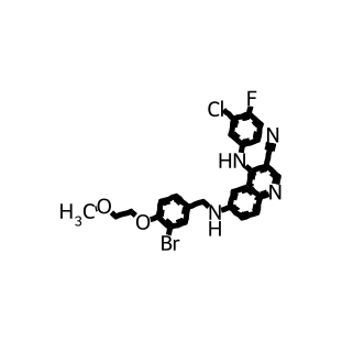 COCCOc1ccc(CNc2ccc3ncc(C#N)c(Nc4ccc(F)c(Cl)c4)c3c2)cc1Br